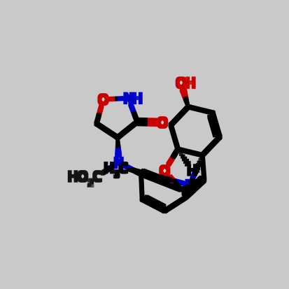 CN1CC[C@@]23C=C[C@H](O)C[C@@H]2Oc2c(N(C(=O)O)[C@H]4CONC4=O)ccc(c23)C1